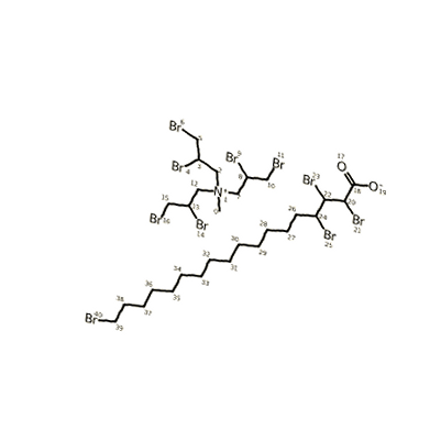 C[N+](CC(Br)CBr)(CC(Br)CBr)CC(Br)CBr.O=C([O-])C(Br)C(Br)C(Br)CCCCCCCCCCCCCCBr